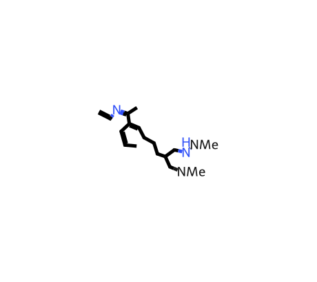 C=C/N=C(/C)C(=CCCCC(CNC)CNNC)/C=C\C